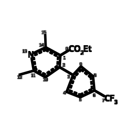 CCOC(=O)c1c(-c2ccc(C(F)(F)F)cc2)cc(C)nc1C